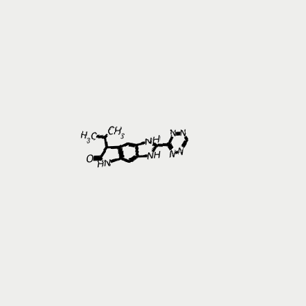 CC(C)C1C(=O)Nc2cc3c(cc21)NC(c1nncnn1)N3